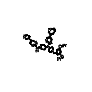 CC(C)Oc1cc(CN2CCC(N(c3ncc(-c4cccnc4)cn3)C3CCN(Nc4ncc(-c5cccnc5)cn4)CC3)CC2)cc(OC(C)C)c1